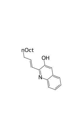 CCCCCCCCCC=Cc1nc2ccccc2cc1O